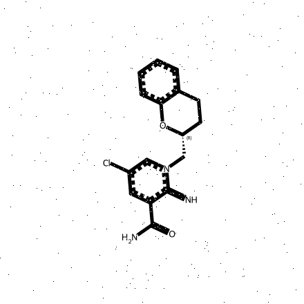 N=c1c(C(N)=O)cc(Cl)cn1C[C@H]1CCc2ccccc2O1